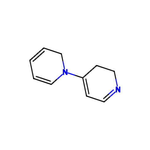 C1=CCN(C2=CC=NCC2)C=C1